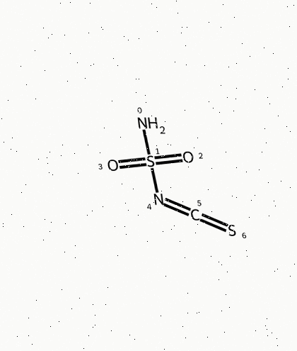 NS(=O)(=O)N=C=S